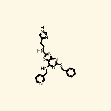 c1ccc(CSc2nc(NCc3cccnc3)c3sc(NCCc4c[nH]cn4)nc3n2)cc1